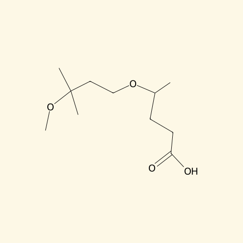 COC(C)(C)CCOC(C)CCC(=O)O